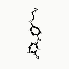 OCCOc1ccc(Nc2ccnc(Cl)n2)cc1